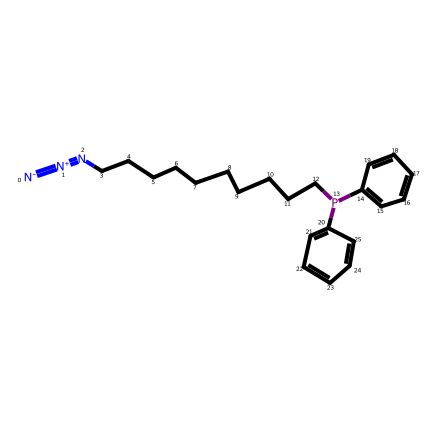 [N-]=[N+]=NCCCCCCCCCCP(c1ccccc1)c1ccccc1